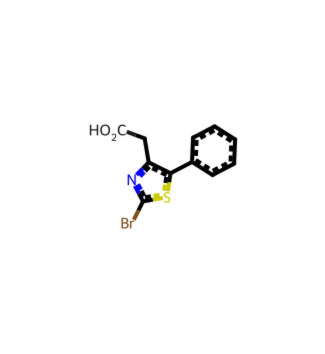 O=C(O)Cc1nc(Br)sc1-c1ccccc1